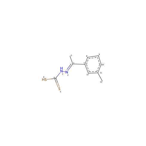 CC(=NNC(=S)S)c1cccc(C)c1